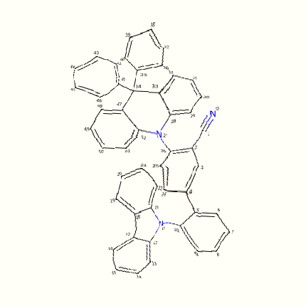 N#Cc1cc(-c2ccccc2-n2c3ccccc3c3ccccc32)ccc1N1c2ccccc2C(c2ccccc2)(c2ccccc2)c2ccccc21